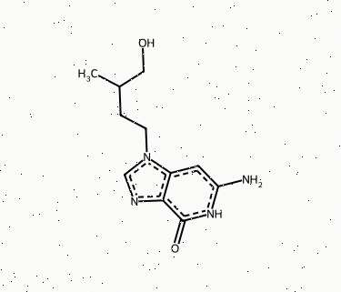 CC(CO)CCn1cnc2c(=O)[nH]c(N)cc21